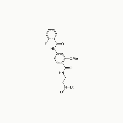 CCN(CC)CCNC(=O)c1ccc(NC(=O)c2ccccc2F)cc1OC